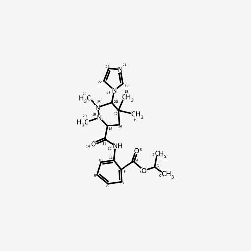 CC(C)OC(=O)c1ccccc1NC(=O)C1CC(C)(C)C(n2ccnc2)N(C)N1C